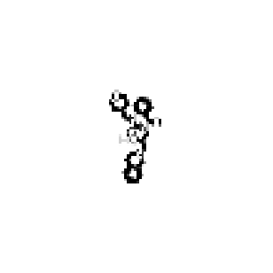 O=c1c2ccccc2n(CC2CCOCC2)c(=O)n1CC(O)CN1CCc2ccccc2C1